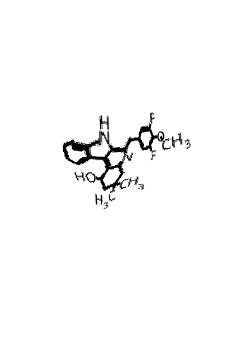 COc1c(F)cc(Cc2nc3c(c4c2[nH]c2ccccc24)C(O)CC(C)(C)C3)cc1F